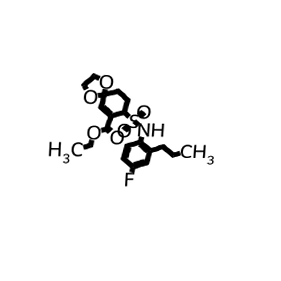 CCCc1cc(F)ccc1NS(=O)(=O)C1CCC2(C=C1C(=O)OCC)OCCO2